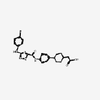 O=C(O)CC1CCC(c2ccc(NC(=O)c3nnc(Nc4ccc(F)cc4)o3)cc2)CC1